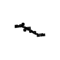 COC(=O)CCC(=O)NCCOCCOCCNC(C)=O